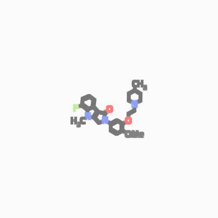 COc1ccc(N2Cc3c(c4cccc(F)c4n3C)C2=O)cc1OCCN1CCC(C)CC1